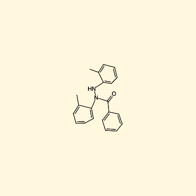 Cc1ccccc1NN(C(=O)c1ccccc1)c1ccccc1C